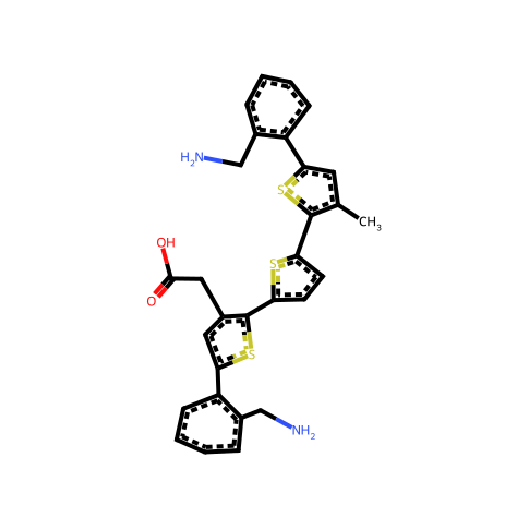 Cc1cc(-c2ccccc2CN)sc1-c1ccc(-c2sc(-c3ccccc3CN)cc2CC(=O)O)s1